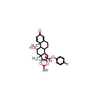 CCCC1O[C@@H]2CC3C4CCC5=CC(=O)C=CC5(C)C4[C@@H](O)CC3(C)[C@]2(C(=O)COc2ccc(F)cc2)O1